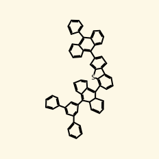 C1=CC2C(c3cc(-c4ccccc4)cc(-c4ccccc4)c3)=c3ccccc3=C(c3cccc4c3sc3cc(-c5c6ccccc6c(-c6ccccc6)c6ccccc56)ccc34)C2C=C1